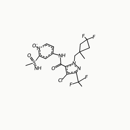 CC1(Cn2nc(C(C)(F)F)c(Cl)c2C(=O)Nc2cc[n+]([O-])c(S(C)(=N)=O)c2)CC(F)(F)C1